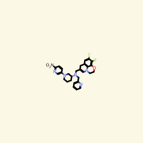 O=[N+]([O-])c1ccc(N2CCC[C@H](N(CC3=CN4CCOc5c(F)c(F)cc(c54)C3)Cc3ccccn3)C2)cn1